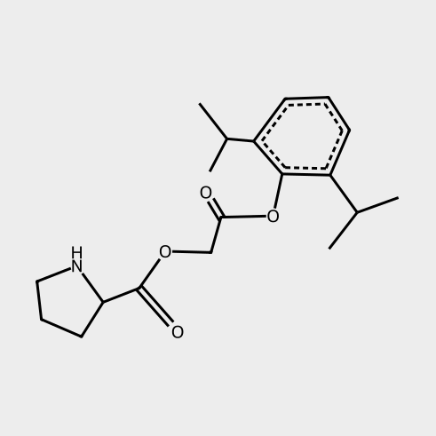 CC(C)c1cccc(C(C)C)c1OC(=O)COC(=O)C1CCCN1